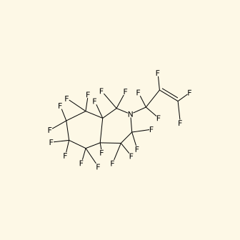 FC(F)=C(F)C(F)(F)N1C(F)(F)C(F)(F)C2(F)C(F)(F)C(F)(F)C(F)(F)C(F)(F)C2(F)C1(F)F